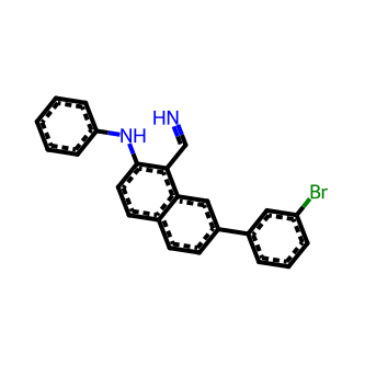 N=Cc1c(Nc2ccccc2)ccc2ccc(-c3cccc(Br)c3)cc12